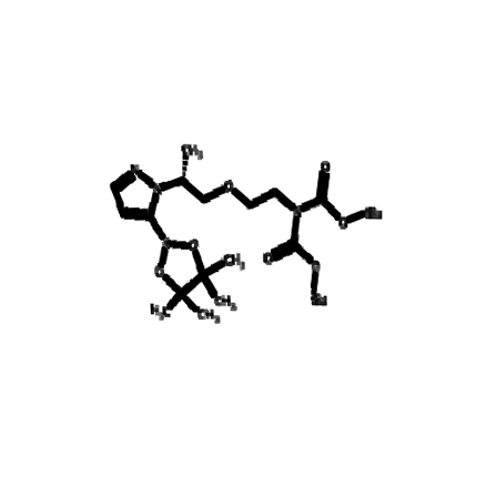 C[C@H](COCCN(C(=O)OC(C)(C)C)C(=O)OC(C)(C)C)n1nccc1B1OC(C)(C)C(C)(C)O1